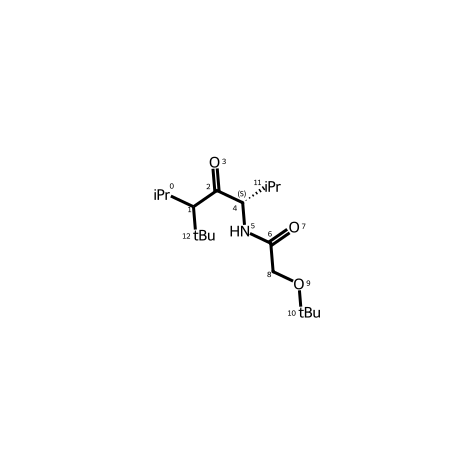 CC(C)C(C(=O)[C@@H](NC(=O)COC(C)(C)C)C(C)C)C(C)(C)C